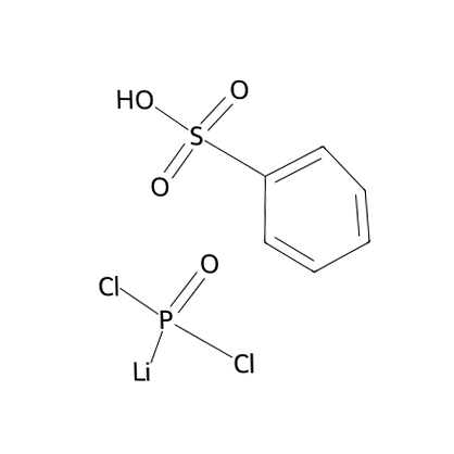 O=S(=O)(O)c1ccccc1.[Li][P](=O)(Cl)Cl